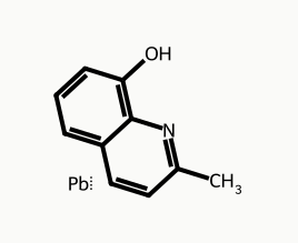 Cc1ccc2cccc(O)c2n1.[Pb]